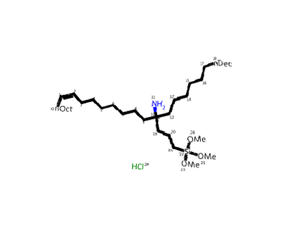 CCCCCCCC/C=C\CCCCCCCC(N)(CCCCCCCCCCCCCCCC)CCC[Si](OC)(OC)OC.Cl